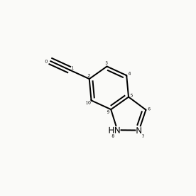 C#Cc1ccc2cn[nH]c2c1